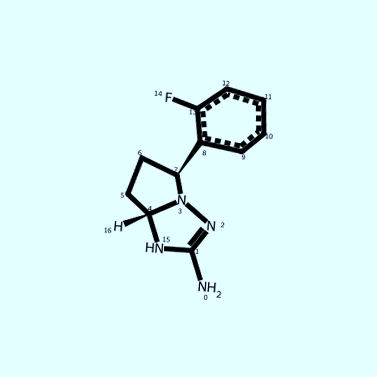 NC1=NN2[C@@H](CC[C@H]2c2ccccc2F)N1